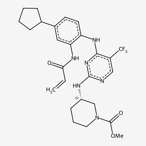 C=CC(=O)Nc1cc(C2CCCC2)ccc1Nc1nc(N[C@H]2CCCN(C(=O)OC)C2)ncc1C(F)(F)F